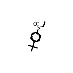 CC[S+]([O-])c1ccc(C(C)(C)C)cc1